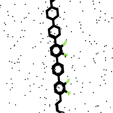 C=CC1CCC(C2CC=C(c3ccc(-c4ccc(-c5ccc(C/C=C\CC)c(F)c5F)cc4)c(F)c3F)CC2)CC1